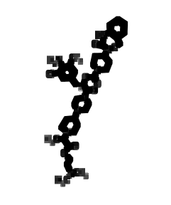 CC(C(=O)OCCN(C)C)N1CCC(N2CCN(C(=O)[C@@H](Cc3cc(Cl)c(N)c(C(F)(F)F)c3)OC(=O)N3CCC(N4CCc5ccccc5NC4=O)CC3)CC2)CC1